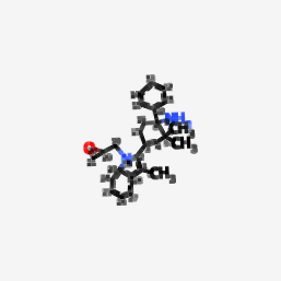 Cc1c(C2=CC(C)(C)C(N)(c3ccccc3)CC2)n(CC2CO2)c2ccccc12